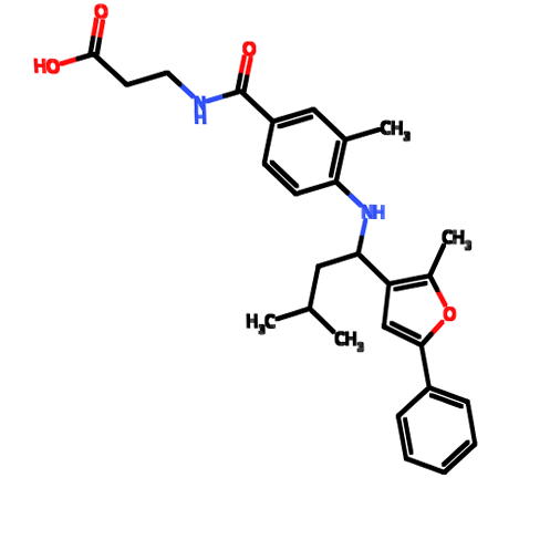 Cc1cc(C(=O)NCCC(=O)O)ccc1NC(CC(C)C)c1cc(-c2ccccc2)oc1C